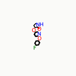 O=C1NCCC1Oc1ccc(Oc2ccc(F)cc2)nc1